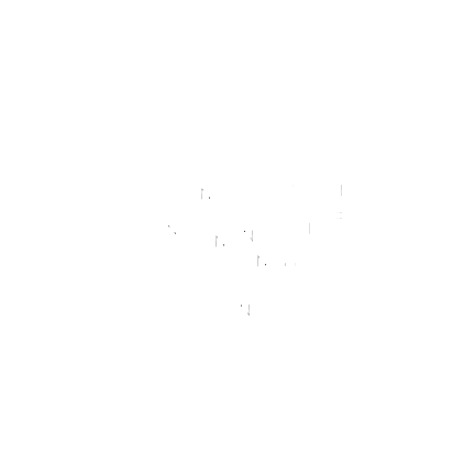 F[P-](F)(F)(F)(F)F.[O-][n+]1nn(C(N2CCCC2)=[N+]2CCCC2)c2cccnc21